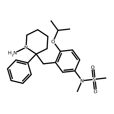 CC(C)Oc1ccc(N(C)S(C)(=O)=O)cc1CC1(c2ccccc2)CCCCN1N